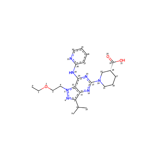 CCOCCn1nc(C(C)C)c2nc(N3CCC[C@@H](C(=O)O)C3)nc(Nc3ccccn3)c21